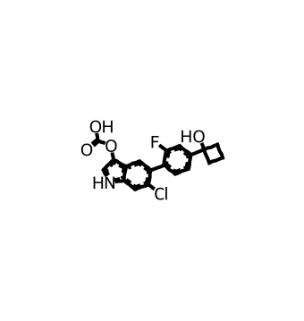 O=C(O)Oc1c[nH]c2cc(Cl)c(-c3ccc(C4(O)CCC4)cc3F)cc12